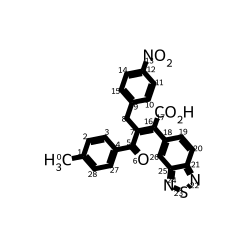 Cc1ccc(C(=O)C(Cc2ccc([N+](=O)[O-])cc2)=C(C(=O)O)c2ccc3nsnc3c2)cc1